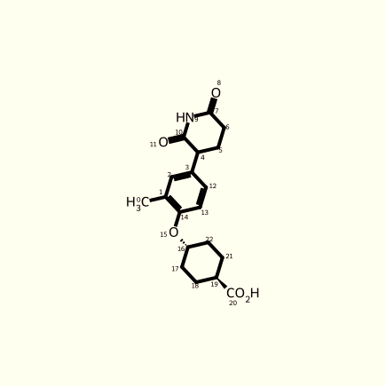 Cc1cc(C2CCC(=O)NC2=O)ccc1O[C@H]1CC[C@H](C(=O)O)CC1